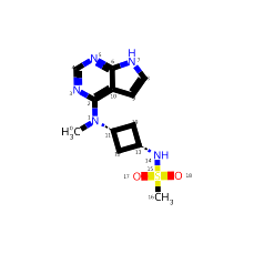 CN(c1ncnc2[nH]ccc12)[C@H]1C[C@@H](NS(C)(=O)=O)C1